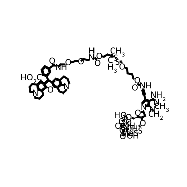 C=Nc1c(/C(N)=N\C)c(C#CNC(=O)OCCCCOCSSC(C)(C)CCOC(=O)NCCOCCOCCNC(=O)c2ccc(C(=O)O)c(C3=c4cc5c6c(c4Oc4c3cc3c7c4CCCN7CCC3)CCC[N+]=6CCC5)c2)cn1[C@H]1CC(OCSSC)[C@@H](COP(=O)(O)OP(=O)(O)OP(=O)(O)O)O1